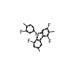 Cc1cc(F)c2c(c1)c1c(F)c(C)c(F)cc1n2-c1ccc(C)c(F)c1